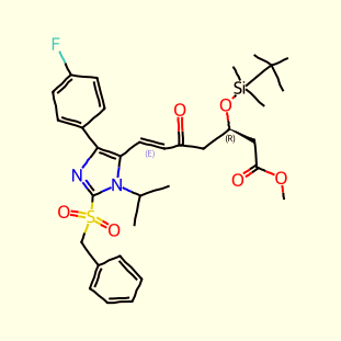 COC(=O)C[C@@H](CC(=O)/C=C/c1c(-c2ccc(F)cc2)nc(S(=O)(=O)Cc2ccccc2)n1C(C)C)O[Si](C)(C)C(C)(C)C